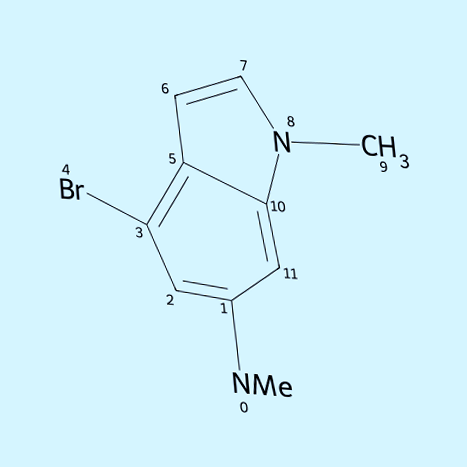 CNc1cc(Br)c2ccn(C)c2c1